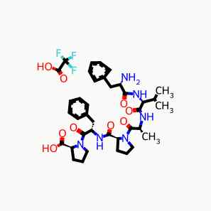 CC(C)[C@H](NC(=O)[C@@H](N)Cc1ccccc1)C(=O)N[C@@H](C)C(=O)N1CCC[C@H]1C(=O)N[C@@H](Cc1ccccc1)C(=O)N1CCC[C@H]1C(=O)O.O=C(O)C(F)(F)F